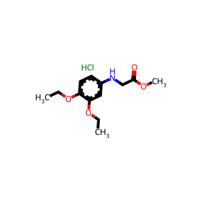 CCOc1ccc(NCC(=O)OC)cc1OCC.Cl